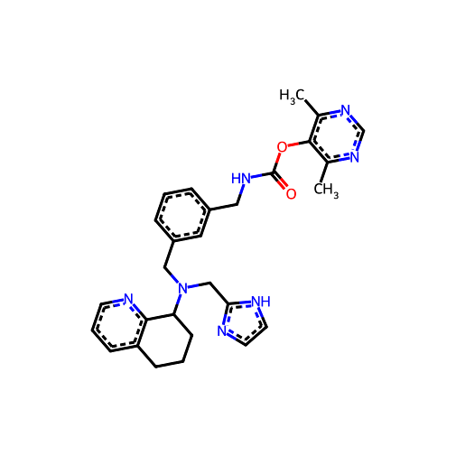 Cc1ncnc(C)c1OC(=O)NCc1cccc(CN(Cc2ncc[nH]2)C2CCCc3cccnc32)c1